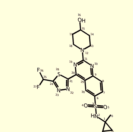 CC1(NS(=O)(=O)c2ccc3nc(N4CCC(O)CC4)nc(-c4nnc(C(F)F)s4)c3c2)CC1